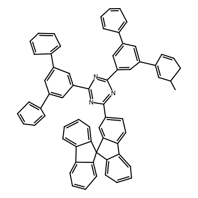 CC1C=C(c2cc(-c3ccccc3)cc(-c3nc(-c4cc(-c5ccccc5)cc(-c5ccccc5)c4)nc(-c4ccc5c(c4)C4(c6ccccc6-c6ccccc64)c4ccccc4-5)n3)c2)C=CC1